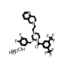 Cl.Cl.Cl.O=C(c1cc(C(F)(F)F)cc(C(F)(F)F)c1)N1CCN(CCN2CCc3ncccc3C2)C[C@H]1Cc1ccc(F)c(F)c1